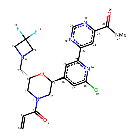 C=CC(=O)N1C[C@H](CN2CC(F)(F)C2)O[C@@H](c2cc(Cl)nc(-c3cc(C(=O)NC)ncn3)c2)C1